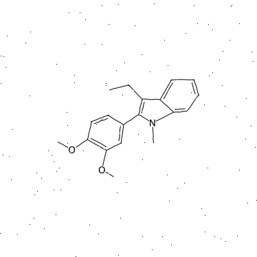 CCc1c(-c2ccc(OC)c(OC)c2)n(C)c2ccccc12